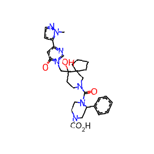 Cn1nccc1-c1cc(=O)n(CC2(O)CCN(C(=O)N3CCN(C(=O)O)CC3c3ccccc3)CC23CCCC3)cn1